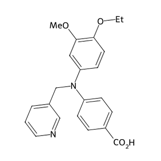 CCOc1ccc(N(Cc2cccnc2)c2ccc(C(=O)O)cc2)cc1OC